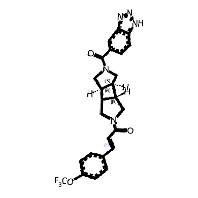 O=C(/C=C/c1ccc(OC(F)(F)F)cc1)N1CC2[C@@H](C1)[C@@H]1CN(C(=O)c3ccc4[nH]nnc4c3)C[C@H]21